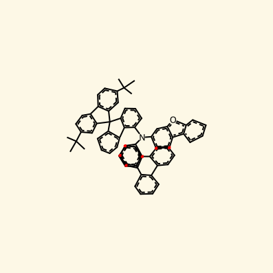 CC(C)(C)c1ccc2c(c1)C1(c3cc(C(C)(C)C)ccc3-2)c2ccccc2-c2c(N(c3ccc4c(c3)oc3ccccc34)c3ccccc3-c3ccccc3-c3ccccc3-c3ccccc3)cccc21